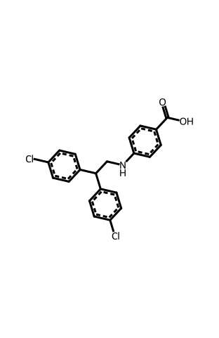 O=C(O)c1ccc(NCC(c2ccc(Cl)cc2)c2ccc(Cl)cc2)cc1